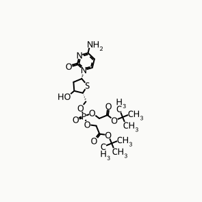 CC(C)(C)OC(=O)COP(=O)(OCC(=O)OC(C)(C)C)OC[C@H]1S[C@@H](n2ccc(N)nc2=O)CC1O